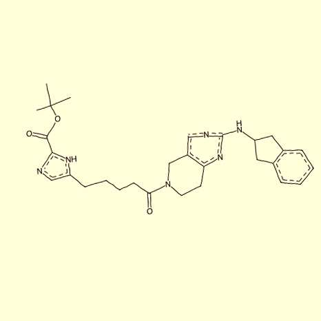 CC(C)(C)OC(=O)c1ncc(CCCCC(=O)N2CCc3nc(NC4Cc5ccccc5C4)ncc3C2)[nH]1